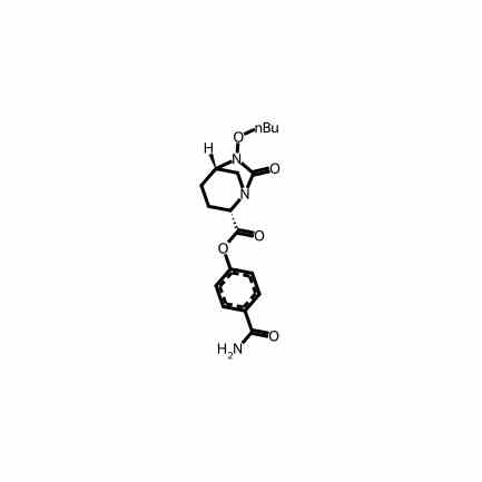 CCCCON1C(=O)N2C[C@@H]1CC[C@H]2C(=O)Oc1ccc(C(N)=O)cc1